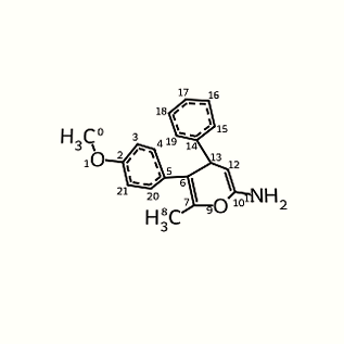 COc1ccc(C2=C(C)OC(N)=CC2c2ccccc2)cc1